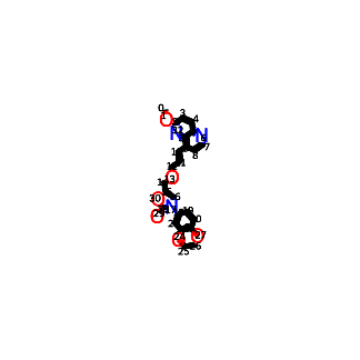 COc1ccc2nccc(/C=C/COCC3CN(c4ccc5c(c4)OCCO5)C(=O)O3)c2n1